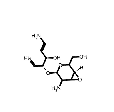 N=C[C@@H](O[C@H]1OC(CO)[C@H]2OC2C1N)[C@H](O)/C=C/N